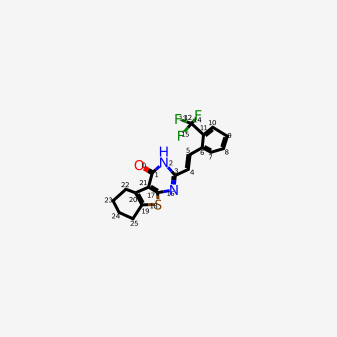 O=c1[nH]c(/C=C/c2ccccc2C(F)(F)F)nc2sc3c(c12)CCCC3